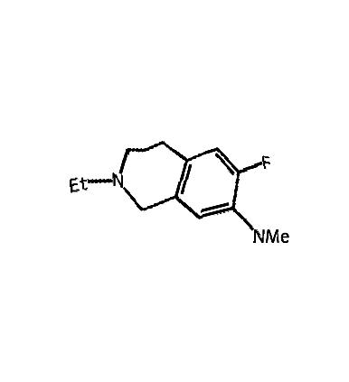 CCN1CCc2cc(F)c(NC)cc2C1